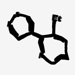 CCc1cccnc1-c1cnsc1